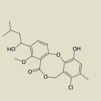 COc1c(C(O)CC(C)C)ccc2c1C(=O)OCc1c(Cl)c(C)cc(O)c1O2